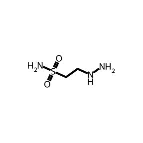 NNCCS(N)(=O)=O